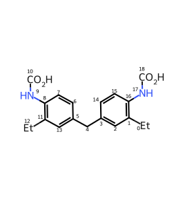 CCc1cc(Cc2ccc(NC(=O)O)c(CC)c2)ccc1NC(=O)O